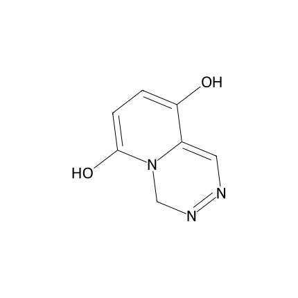 OC1=CC=C(O)N2CN=NC=C12